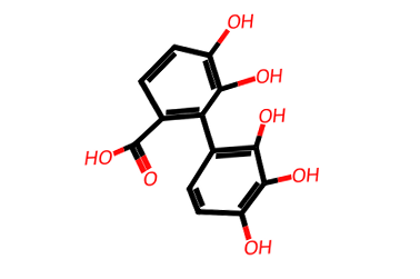 O=C(O)c1ccc(O)c(O)c1-c1ccc(O)c(O)c1O